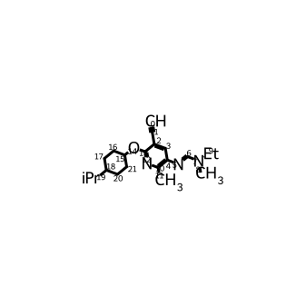 C#Cc1cc(/N=C/N(C)CC)c(C)nc1OC1CCC(C(C)C)CC1